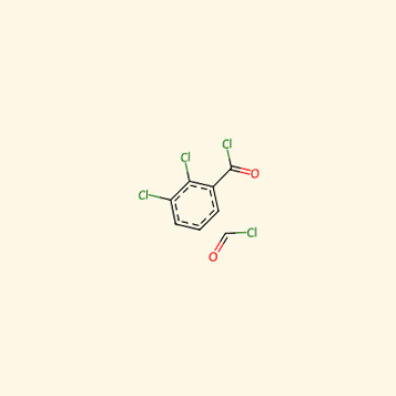 O=C(Cl)c1cccc(Cl)c1Cl.O=CCl